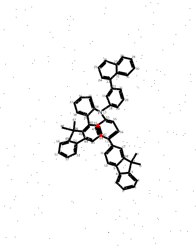 CC1(C)c2ccccc2-c2ccc(-c3ccc(N(c4cccc(-c5cccc6ccccc56)c4)c4ccccc4-c4cccc5c4C(C)(C)c4ccccc4-5)cc3)cc21